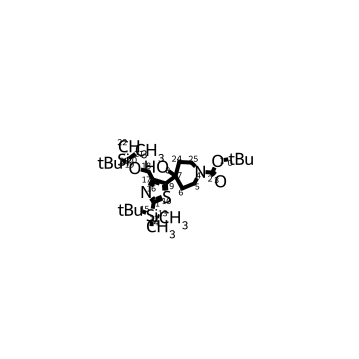 CC(C)(C)OC(=O)N1CCC(O)(c2sc([Si](C)(C)C(C)(C)C)nc2CO[Si](C)(C)C(C)(C)C)CC1